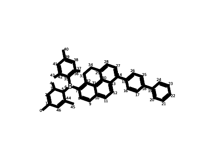 CC1=CC(C)C(B(c2ccc3ccc4c(-c5ccc(-c6ccccc6)cc5)ccc5c4c3c2CC5)c2c(C)cc(C)cc2C)C(C)=C1